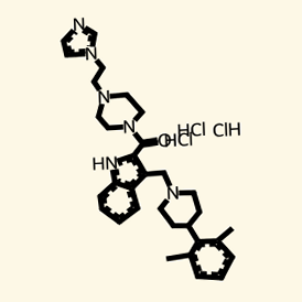 Cc1cccc(C)c1C1CCN(Cc2c(C(=O)N3CCN(CCn4ccnc4)CC3)[nH]c3ccccc23)CC1.Cl.Cl.Cl